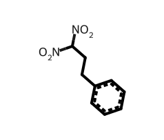 O=[N+]([O-])C(CCc1ccccc1)[N+](=O)[O-]